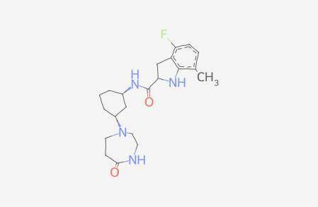 Cc1ccc(F)c2c1NC(C(=O)N[C@@H]1CCC[C@H](N3CCNC(=O)CC3)C1)C2